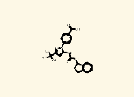 CC(C)(C)c1cc(NC(=O)NC2CCc3ccccc32)n(-c2ccc(C(=O)O)cc2)n1